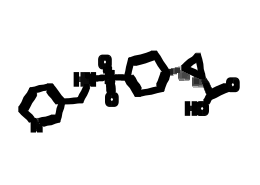 O=C(O)[C@@H]1C[C@H]1c1ccc(S(=O)(=O)NCc2cccnc2)cc1